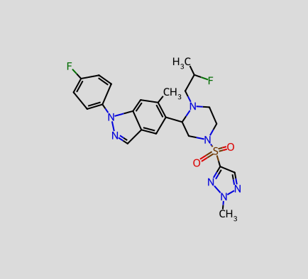 Cc1cc2c(cnn2-c2ccc(F)cc2)cc1C1CN(S(=O)(=O)c2cnn(C)n2)CCN1CC(C)F